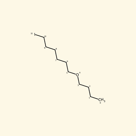 CCCCOCCCCCCI